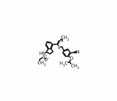 C=N/C=C(\SCc1ccc(OC(C)C)c(C#N)c1)c1cccc2c1CCC2N[S+]([O-])CC